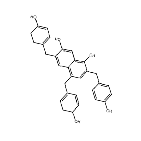 OC1=CC=C(Cc2cc3c(CC4=CCC(O)C=C4)cc(Cc4ccc(O)cc4)c(O)c3cc2O)CC1